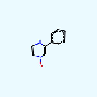 ON1C=CNC(c2ccccc2)=C1